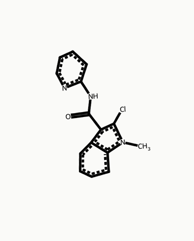 Cn1c(Cl)c(C(=O)Nc2ccccn2)c2ccccc21